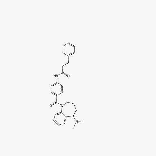 CN(C)C1CCCN(C(=O)c2ccc(NC(=O)CCc3ccccc3)cc2)c2ccccc21